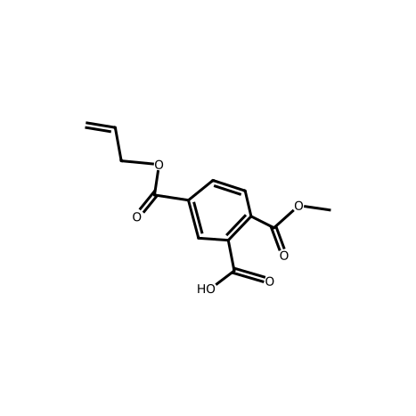 C=CCOC(=O)c1ccc(C(=O)OC)c(C(=O)O)c1